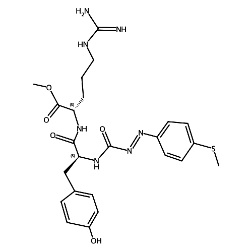 COC(=O)[C@H](CCCNC(=N)N)NC(=O)[C@H](Cc1ccc(O)cc1)NC(=O)N=Nc1ccc(SC)cc1